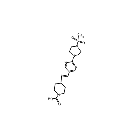 CS(=O)(=O)N1CCN(c2ncc(C=CC3CCN(C(=O)O)CC3)cn2)CC1